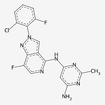 Cc1nc(N)cc(Nc2ncc(F)c3nn(-c4c(F)cccc4Cl)cc23)n1